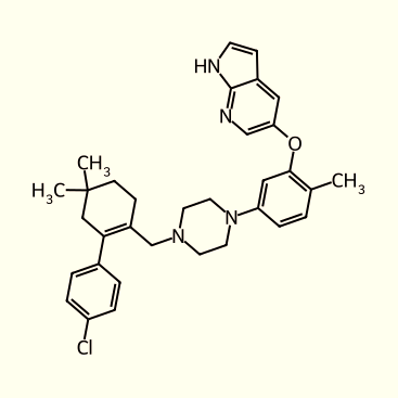 Cc1ccc(N2CCN(CC3=C(c4ccc(Cl)cc4)CC(C)(C)CC3)CC2)cc1Oc1cnc2[nH]ccc2c1